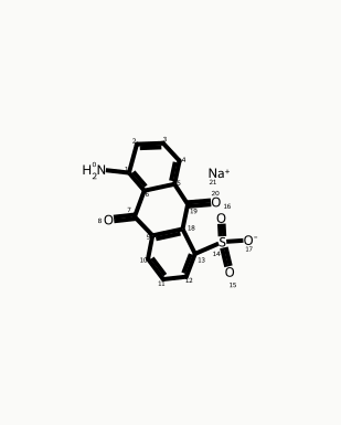 Nc1cccc2c1C(=O)c1cccc(S(=O)(=O)[O-])c1C2=O.[Na+]